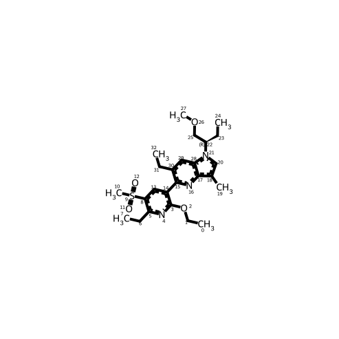 CCOc1nc(CC)c(S(C)(=O)=O)cc1-c1nc2c(C)cn([C@H](CC)COC)c2cc1CC